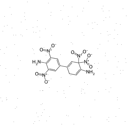 NC1=CCC(c2cc([N+](=O)[O-])c(N)c([N+](=O)[O-])c2)=CC1([N+](=O)[O-])[N+](=O)[O-]